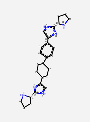 c1cc(C2CCC(c3c[nH]c([C@@H]4CCCN4)n3)CC2)ccc1-c1c[nH]c([C@@H]2CCCN2)n1